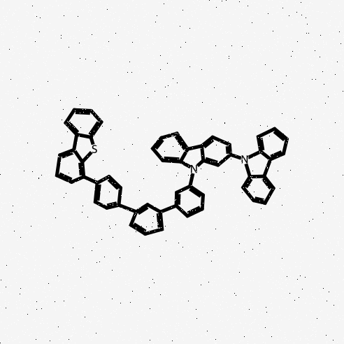 c1cc(-c2ccc(-c3cccc4c3sc3ccccc34)cc2)cc(-c2cccc(-n3c4ccccc4c4ccc(-n5c6ccccc6c6ccccc65)cc43)c2)c1